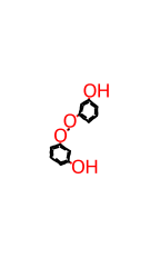 Oc1cccc(OCOc2cccc(O)c2)c1